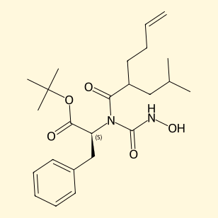 C=CCCC(CC(C)C)C(=O)N(C(=O)NO)[C@@H](Cc1ccccc1)C(=O)OC(C)(C)C